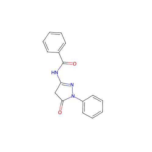 O=C(NC1=NN(c2ccccc2)C(=O)C1)c1ccccc1